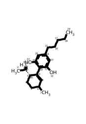 C=C(C)[C@H]1CCC(C)C=C1c1c(O)cc(CCCCC)cc1O